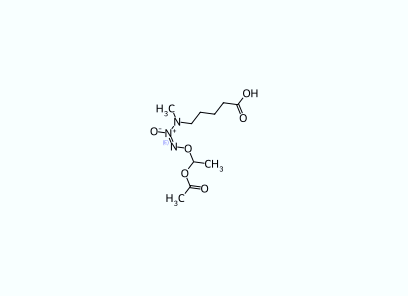 CC(=O)OC(C)O/N=[N+](/[O-])N(C)CCCCC(=O)O